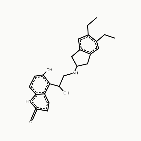 CCc1cc2c(cc1CC)CC(NCC(O)c1c(O)ccc3[nH]c(=O)ccc13)C2